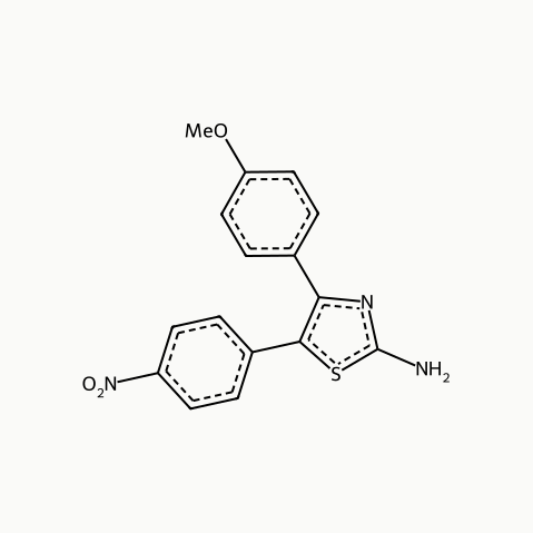 COc1ccc(-c2nc(N)sc2-c2ccc([N+](=O)[O-])cc2)cc1